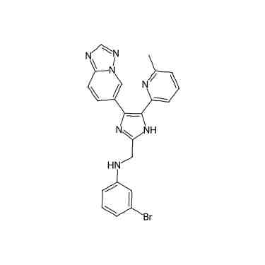 Cc1cccc(-c2[nH]c(CNc3cccc(Br)c3)nc2-c2ccc3ncnn3c2)n1